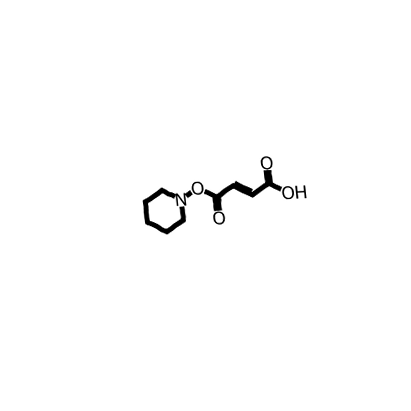 O=C(O)C=CC(=O)ON1CCCCC1